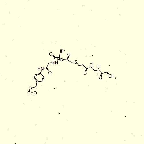 C=CC(=O)NCNC(=O)CCSCC(=O)NC(C(=O)NCC(=O)Nc1ccc(COC=O)cc1)C(C)C